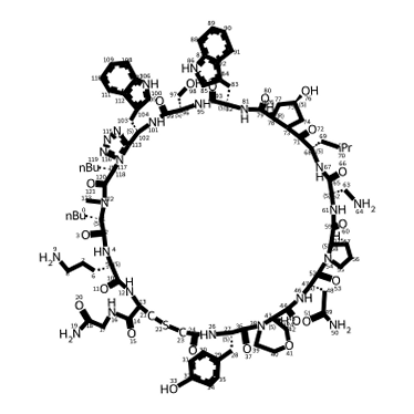 CCCC[C@H]1C(=O)N[C@@H](CCCN)C(=O)NC(C(=O)NCC(N)=O)CSCC(=O)N[C@@H](Cc2ccc(O)cc2)C(=O)N2CCOC[C@H]2C(=O)N[C@@H](CC(N)=O)C(=O)N2CCC[C@H]2C(=O)N[C@@H](CN)C(=O)N[C@@H](CC(C)C)C(=O)C2C[C@H](O)C[C@H]2C(=O)N[C@@H](Cc2c[nH]c3ccccc23)C(=O)N[C@@H](CO)C(=O)N[C@@H](Cc2c[nH]c3ccccc23)c2nnnn2[C@@H](CCCC)C(=O)N1C